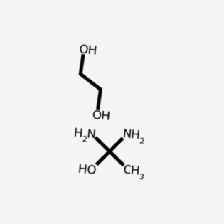 CC(N)(N)O.OCCO